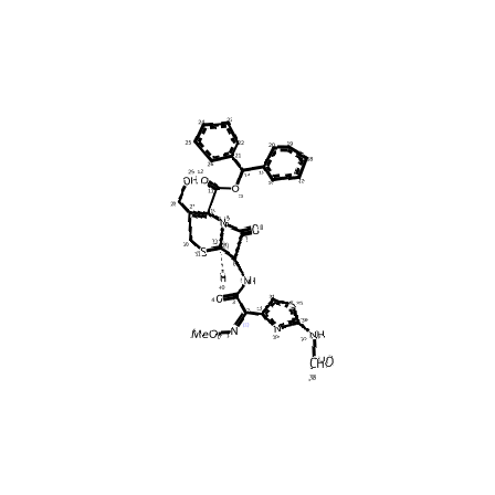 CO/N=C(\C(=O)NC1C(=O)N2C(C(=O)OC(c3ccccc3)c3ccccc3)=C(CO)CS[C@H]12)c1csc(NC=O)n1